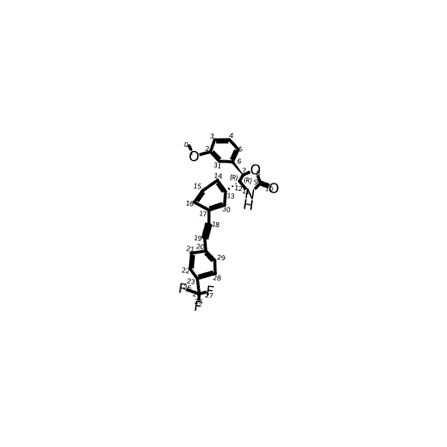 COc1cccc([C@H]2OC(=O)N[C@@H]2c2cccc(C#Cc3ccc(C(F)(F)F)cc3)c2)c1